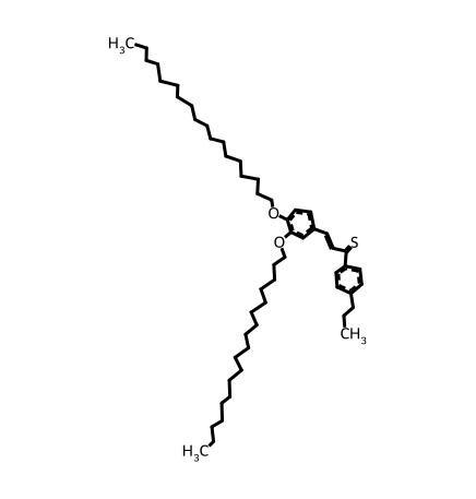 CCCCCCCCCCCCCCCCCCOc1ccc(C=CC(=S)c2ccc(CCC)cc2)cc1OCCCCCCCCCCCCCCCCCC